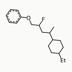 CCC1CCC(C(C)CC(F)COc2ccccc2)CC1